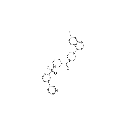 O=C(C1CCCN(S(=O)(=O)c2cccc(-c3cccnc3)c2)C1)N1CCN(c2ccnc3cc(F)ccc23)CC1